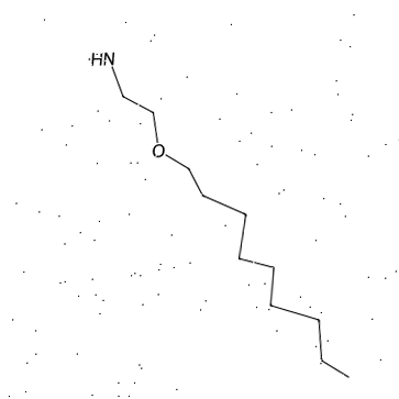 CCCCCCCCCOCC[NH]